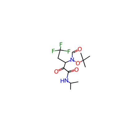 CC(C)NC(=O)C(=O)C(CC(F)(F)F)N(C=O)OC(C)(C)C